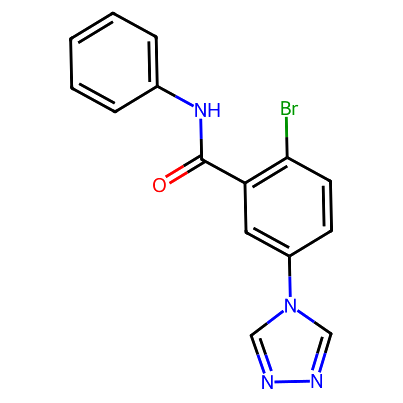 O=C(Nc1ccccc1)c1cc(-n2cnnc2)ccc1Br